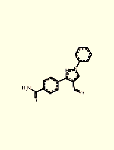 NC(=O)c1ccc(-c2nn(-c3ccccc3)cc2C=O)cc1